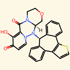 O=C1c2c(O)c(=O)ccn2N([C@@H]2c3ccccc3-c3ccsc3-c3ccccc32)[C@@H]2COCCN12